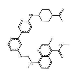 CNC(=O)c1c(F)cnc2c([C@H](C)CNc3cc(-c4ccc(NC5CCN(C(C)=O)CC5)nc4)ncn3)cccc12